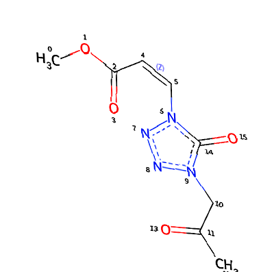 COC(=O)/C=C\n1nnn(CC(C)=O)c1=O